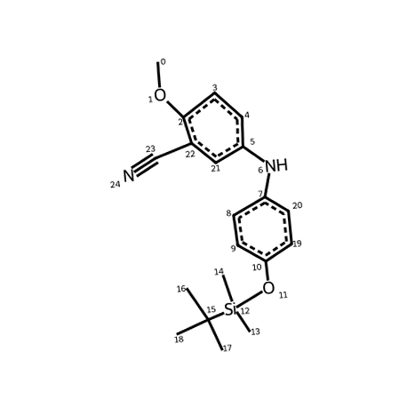 COc1ccc(Nc2ccc(O[Si](C)(C)C(C)(C)C)cc2)cc1C#N